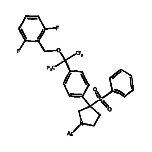 CC(=O)N1CCC(c2ccc(C(OCc3c(F)cccc3F)(C(F)(F)F)C(F)(F)F)cc2)(S(=O)(=O)c2ccccc2)C1